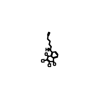 C#CCCCCNc1cccc2c1C(=O)C(Cl)=C(Cl)C2=O